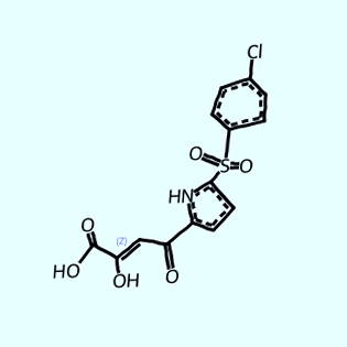 O=C(O)/C(O)=C/C(=O)c1ccc(S(=O)(=O)c2ccc(Cl)cc2)[nH]1